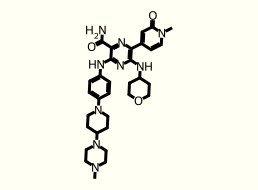 CN1CCN(C2CCN(c3ccc(Nc4nc(NC5CCOCC5)c(-c5ccn(C)c(=O)c5)nc4C(N)=O)cc3)CC2)CC1